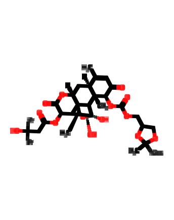 CCCCCCCCCCC1(C)OCC(COC(=O)O[C@@H]2C(=O)C=C(C)[C@@H]3C[C@H]4OC(=O)[C@H](OC(=O)CC(O)(C(C)C)C(C)C)C5[C@@H](C)[C@@H](O)[C@]6(O)OC[C@@]54C6[C@@]23C)O1